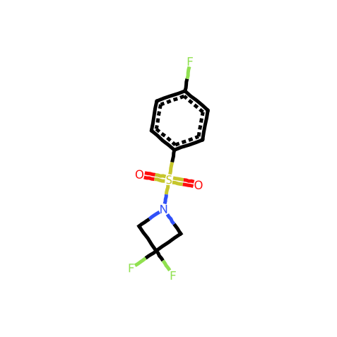 O=S(=O)(c1ccc(F)cc1)N1CC(F)(F)C1